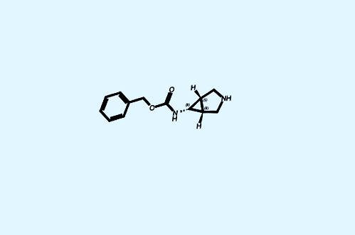 O=C(N[C@@H]1[C@@H]2CNC[C@@H]21)OCc1ccccc1